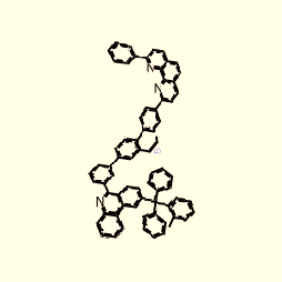 C/C=C\c1cc(-c2cccc(-c3nc4ccccc4c4cc(C(c5ccccc5)(c5ccccc5)c5ccccc5C)ccc34)c2)ccc1-c1ccc(-c2ccc3ccc4ccc(-c5ccccc5)nc4c3n2)cc1